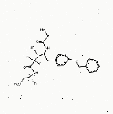 COC[C@H](NC(=O)C(F)(F)C(O)C(Cc1ccc(OCc2ccccc2)cc1)NC(=O)OC(C)(C)C)C(C)C